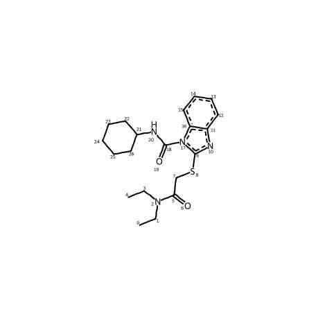 CCN(CC)C(=O)CSc1nc2ccccc2n1C(=O)NC1CCCCC1